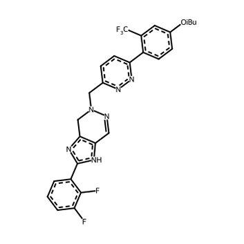 CC(C)COc1ccc(-c2ccc(CN3Cc4nc(-c5cccc(F)c5F)[nH]c4C=N3)nn2)c(C(F)(F)F)c1